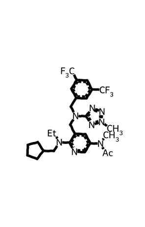 CCN(CC1CCCC1)c1ncc(N(C)C(C)=O)cc1CN(Cc1cc(C(F)(F)F)cc(C(F)(F)F)c1)c1nnn(C)n1